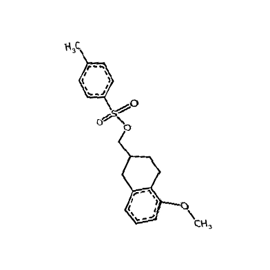 COc1cccc2c1CCC(COS(=O)(=O)c1ccc(C)cc1)C2